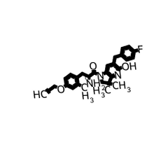 C#CCOc1ccc(C[C@H](N)C(=O)N2CC(C)(C)c3nc(O)c(Cc4ccc(F)cc4)cc32)c(C)c1